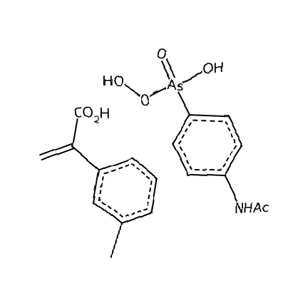 C=C(C(=O)O)c1cccc(C)c1.CC(=O)Nc1ccc([As](=O)(O)OO)cc1